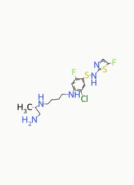 C[C@@H](CN)NCCCCNc1cc(F)c(SNc2ncc(F)s2)cc1Cl